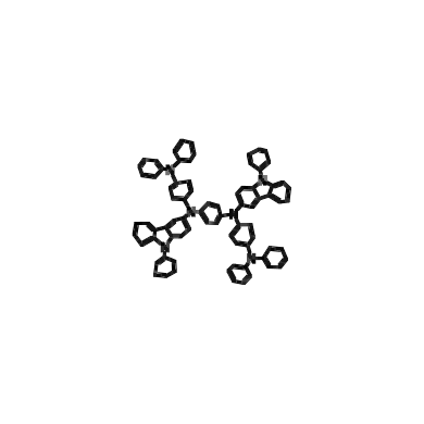 c1ccc(N(c2ccccc2)c2ccc(N(c3ccc(N(c4ccc(N(c5ccccc5)c5ccccc5)cc4)c4ccc5c(c4)c4ccccc4n5-c4ccccc4)cc3)c3ccc4c(c3)c3ccccc3n4-c3ccccc3)cc2)cc1